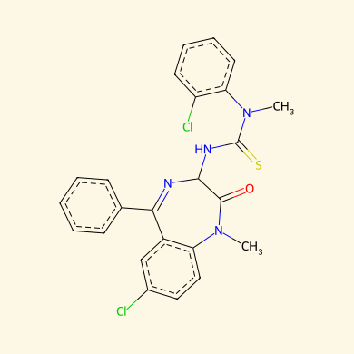 CN(C(=S)NC1N=C(c2ccccc2)c2cc(Cl)ccc2N(C)C1=O)c1ccccc1Cl